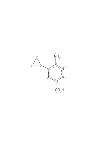 Nc1nnc(C(=O)O)cc1C1CC1